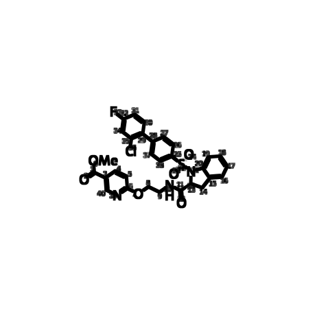 COC(=O)c1ccc(OCCNC(=O)[C@@H]2Cc3ccccc3N2S(=O)(=O)c2ccc(-c3ccc(F)cc3Cl)cc2)nc1